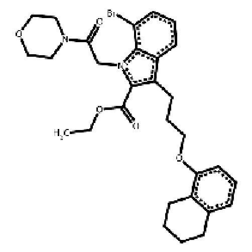 CCOC(=O)c1c(CCCOc2cccc3c2CCCC3)c2cccc(Br)c2n1CC(=O)N1CCOCC1